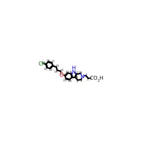 O=C(O)CCN1CCc2c([nH]c3cc(OCCCc4ccc(Cl)cc4)ccc23)C1